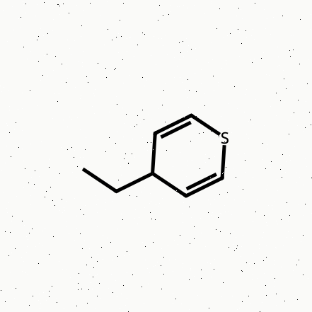 CCC1C=CSC=C1